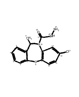 CC1c2ccccc2Oc2ccc(Cl)cc2N1C(=O)NN